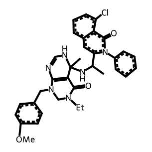 CCN1CN(Cc2ccc(OC)cc2)C2=C(C1=O)C(C)(NC(C)c1cc3cccc(Cl)c3c(=O)n1-c1ccccc1)NC=N2